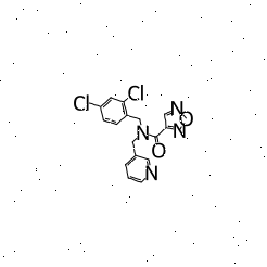 O=C(c1cnon1)N(Cc1cccnc1)Cc1ccc(Cl)cc1Cl